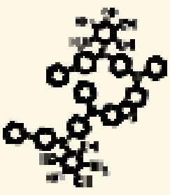 Bc1c(O)c(O)c(O)c(N(c2ccc(-c3ccccc3)cc2)c2ccc(N(c3ccccc3)c3ccc4oc5ccc(N(c6ccccc6)c6ccc(N(C7=CC=C(c8ccccc8)CC7)C7C(O)=C(O)C(O)=C(O)C7B)cc6)cc5c4c3)cc2)c1O